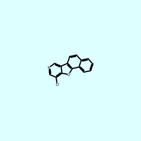 Clc1cncc2c1oc1c3ccccc3ccc21